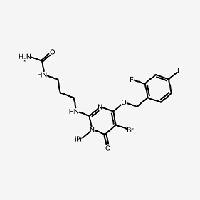 CC(C)n1c(NCCCNC(N)=O)nc(OCc2ccc(F)cc2F)c(Br)c1=O